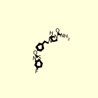 NC(=O)N1CC2C[C@@H]1CN2CCc1ccc(Oc2nc3cc(F)ccc3s2)cc1